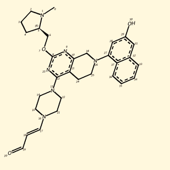 CN1CCC[C@@H]1COc1nc2c(c(N3CCN(C=CC=O)CC3)n1)CCN(c1cc(O)cc3ccccc13)C2